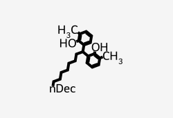 CCCCCCCCCCCCCCCCCC(c1cccc(C)c1O)c1cccc(C)c1O